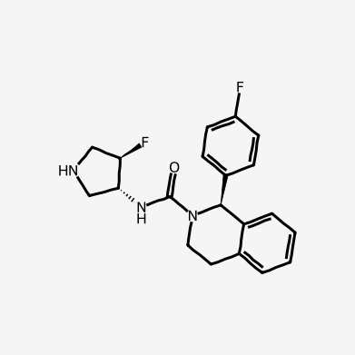 O=C(N[C@@H]1CNC[C@H]1F)N1CCc2ccccc2[C@@H]1c1ccc(F)cc1